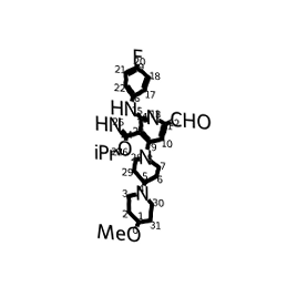 COC1CCN(C2CCN(c3cc(C=O)nc(Nc4ccc(F)cc4)c3C(=N)OC(C)C)CC2)CC1